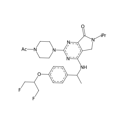 CC(=O)N1CCN(c2nc(NC(C)c3ccc(OC(CF)CF)cc3)c3c(n2)C(=O)N(C(C)C)C3)CC1